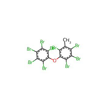 Cc1c(Br)c(Br)c(Br)c(Oc2c(Br)c(Br)c(Br)c(Br)c2Br)c1Br